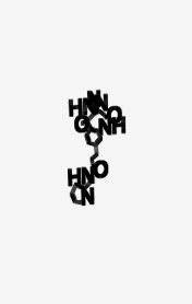 CN1CC=CC=C1CNC(=O)CCc1ccc2c(=O)c3[nH]nnc3c(=O)[nH]c2c1